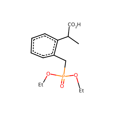 CCOP(=O)(Cc1ccccc1C(C)C(=O)O)OCC